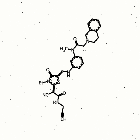 C#CCNC(=O)C(C#N)=c1sc(=CNc2cccc(N(C)C(=O)CN3CCc4ccccc4C3)c2)c(=O)n1CC